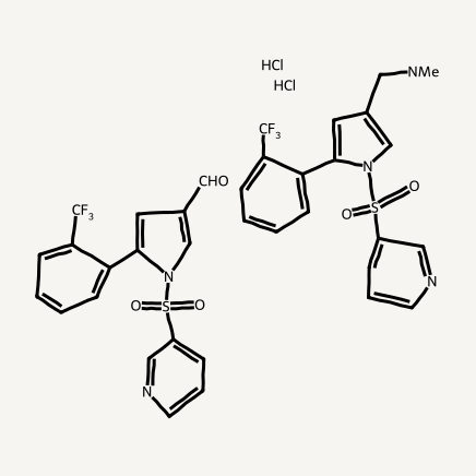 CNCc1cc(-c2ccccc2C(F)(F)F)n(S(=O)(=O)c2cccnc2)c1.Cl.Cl.O=Cc1cc(-c2ccccc2C(F)(F)F)n(S(=O)(=O)c2cccnc2)c1